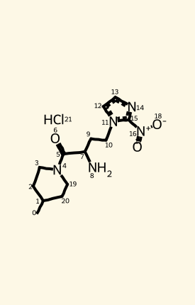 CC1CCN(C(=O)C(N)CCn2ccnc2[N+](=O)[O-])CC1.Cl